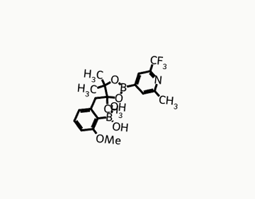 COc1cccc(CC2(C)OB(c3cc(C)nc(C(F)(F)F)c3)OC2(C)C)c1B(O)O